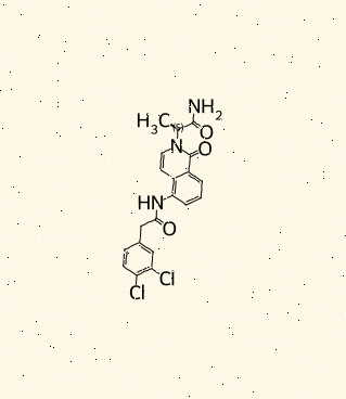 C[C@@H](C(N)=O)n1ccc2c(NC(=O)Cc3ccc(Cl)c(Cl)c3)cccc2c1=O